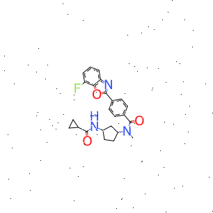 CN(C(=O)c1ccc(-c2nc3cccc(F)c3o2)cc1)C1CCC(NC(=O)C2CC2)C1